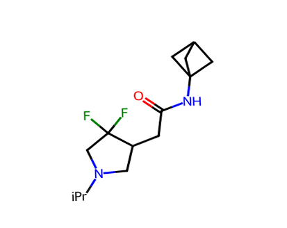 CC(C)N1CC(CC(=O)NC23CC(C2)C3)C(F)(F)C1